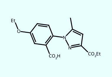 CCOC(=O)c1cc(C)n(-c2ccc(OCC)cc2C(=O)O)n1